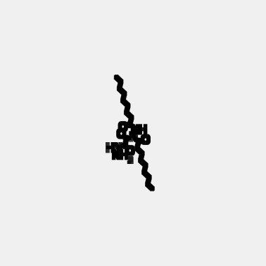 CCCCCCCCC(=O)NN(C(=O)CCCCCCCC)C(=O)C(=O)NN